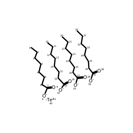 CCCCCCCC(=O)[O-].CCCCCCCC(=O)[O-].CCCCCCCC(=O)[O-].CCCCCCCC(=O)[O-].[Te+4]